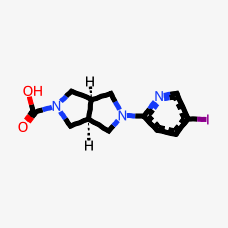 O=C(O)N1C[C@@H]2CN(c3ccc(I)cn3)C[C@@H]2C1